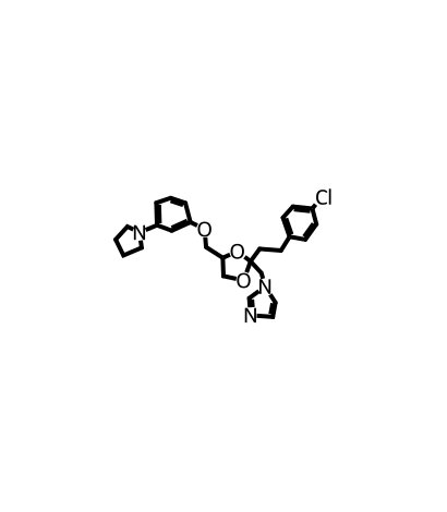 Clc1ccc(CCC2(Cn3ccnc3)OCC(COc3cccc(N4CCCC4)c3)O2)cc1